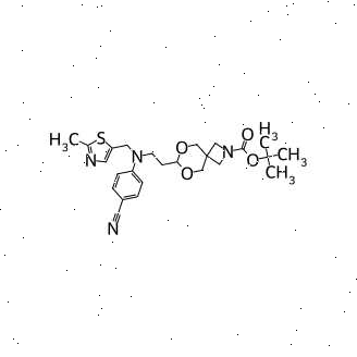 Cc1ncc(CN(CCC2OCC3(CO2)CN(C(=O)OC(C)(C)C)C3)c2ccc(C#N)cc2)s1